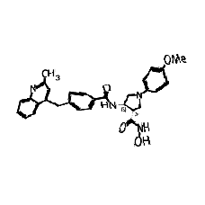 COc1ccc(N2C[C@H](C(=O)NO)[C@H](NC(=O)c3ccc(Cc4cc(C)nc5ccccc45)cc3)C2)cc1